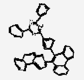 c1ccc(-c2nc(-c3ccccc3)nc(-c3ccc(-c4c(-c5ccc6c(ccc7ccccc76)c5)c5ccccc5c5ccccc45)cc3)n2)cc1